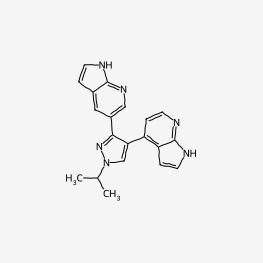 CC(C)n1cc(-c2ccnc3[nH]ccc23)c(-c2cnc3[nH]ccc3c2)n1